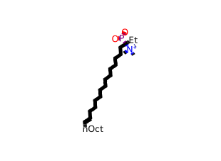 CCCCCCCCC=CCCCCCCCCCCCCCC(CC)(P(=O)=O)[N+](C)(C)C